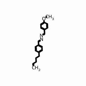 C=CCCCc1ccc(/C=N/N=C/c2ccc(OC)cc2)cc1